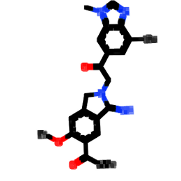 CCOc1cc2c(cc1C(=O)NC)C(=N)N(CC(=O)c1cc(C(C)(C)C)c3ncn(C)c3c1)C2